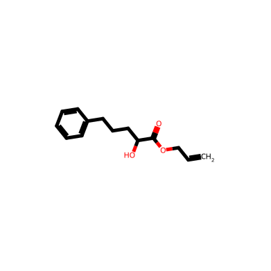 C=CCOC(=O)C(O)CCCc1ccccc1